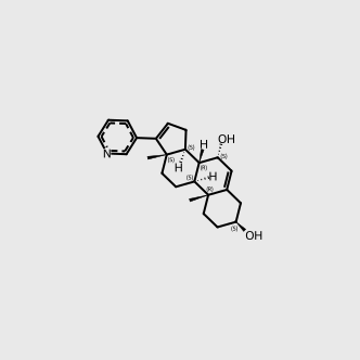 C[C@]12CC[C@H](O)CC1=C[C@@H](O)[C@@H]1[C@@H]2CC[C@]2(C)C(c3cccnc3)=CC[C@@H]12